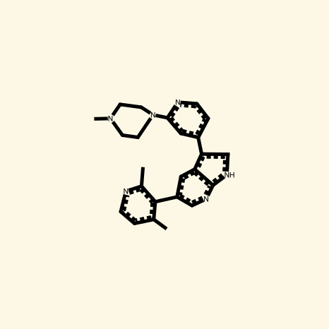 Cc1ccnc(C)c1-c1cnc2[nH]cc(-c3ccnc(N4CCN(C)CC4)c3)c2c1